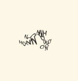 Cc1ncc(Cl)c([C@@H](C)Oc2ccc3[nH]nc(-c4cnc(N5CC(O)C5)c(C#N)c4)c3c2)c1Cl